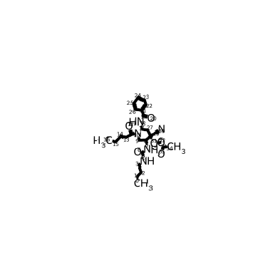 CCCCNC(=O)NC1CN(C(=O)CCCC)C(NC(=O)c2ccccc2)CC1(C#N)OOC(C)=O